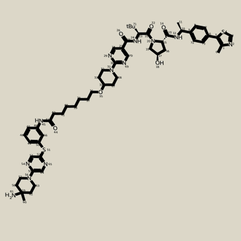 Cc1ncsc1-c1ccc([C@H](C)NC(=O)[C@@H]2C[C@@H](O)CN2C(=O)[C@@H](NC(=O)c2cnc(N3CCC(OCCCCCCCC(=O)Nc4cccc(Sc5cnc(N6CCC(C)(N)CC6)cn5)c4)CC3)nc2)C(C)(C)C)cc1